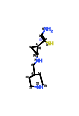 N/C=C(\S)[C@@H]1C[C@H]1NCC1CCNCC1